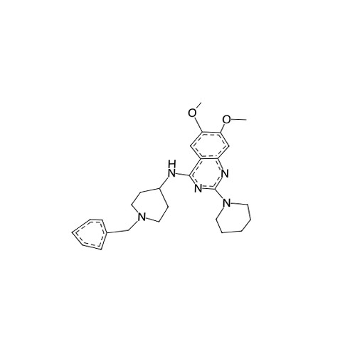 COc1cc2nc(N3CCCCC3)nc(NC3CCN(Cc4ccccc4)CC3)c2cc1OC